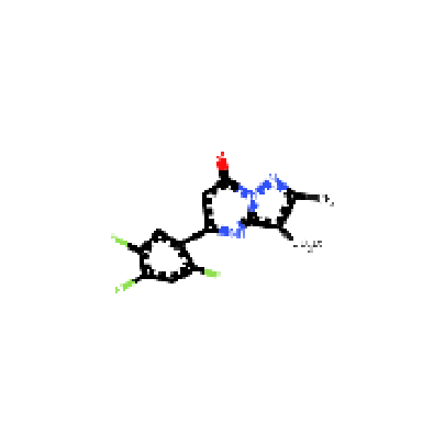 CCOC(=O)c1c(C(F)(F)F)nn2c(=O)cc(-c3cc(F)c(F)cc3F)[nH]c12